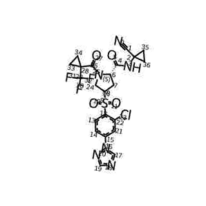 N#CC1(NC(=O)[C@@H]2C[C@@H](S(=O)(=O)c3ccc(-n4cncn4)cc3Cl)CN2C(=O)C2(C(F)(F)F)CC2)CC1